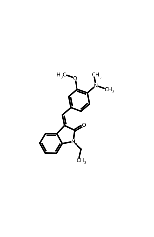 CCN1C(=O)/C(=C\c2ccc(N(C)C)c(OC)c2)c2ccccc21